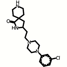 O=C1NC(CCN2CCN(c3cccc(Cl)c3)CC2)CC12CCNCC2